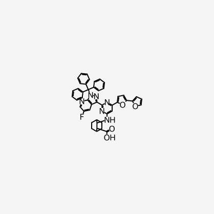 O=C(O)C1C2CCC(CC2)C1Nc1cc(-c2ccc(-c3ccco3)o2)nc(-c2nn(C(c3ccccc3)(c3ccccc3)c3ccccc3)c3ncc(F)cc23)n1